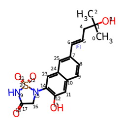 CC(C)(O)C/C=C/c1ccc2cc(O)c(N3CC(=O)NS3(=O)=O)cc2c1